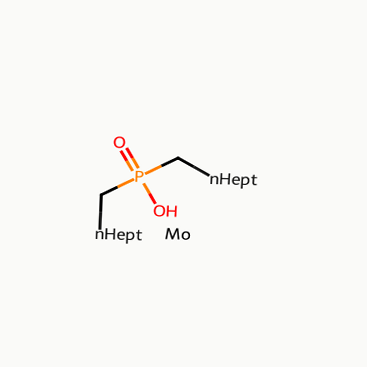 CCCCCCCCP(=O)(O)CCCCCCCC.[Mo]